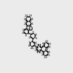 c1cc(-c2cccc(-c3cccc4c3oc3cc5ccccc5cc34)c2)cc(-c2cnc3c4ccccc4c4ccccc4c3n2)c1